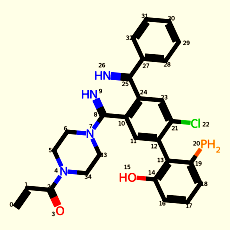 C=CC(=O)N1CCN(C(=N)c2cc(-c3c(O)cccc3P)c(Cl)cc2C(=N)c2ccccc2)CC1